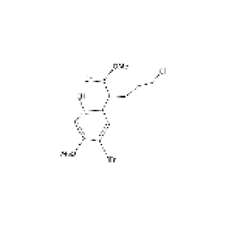 COC(=O)C(CCCCl)c1cc(C(C)C)c(OC)cc1C